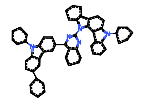 c1ccc(-c2ccc3c(c2)c2cc(-c4nc(-n5c6ccccc6c6ccc7c(c8ccccc8n7-c7ccccc7)c65)nc5ccccc45)ccc2n3-c2ccccc2)cc1